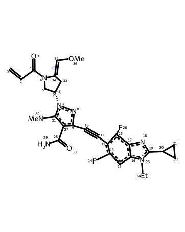 C=CC(=O)N1C[C@@H](n2nc(C#Cc3c(F)cc4c(nc(C5CC5)n4CC)c3F)c(C(N)=O)c2NC)C/C1=C\OC